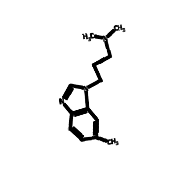 Cc1ccc2ncn(CCCN(C)C)c2c1